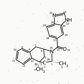 C[C@@H]1C[C@]2(C)CC(Cc3ccccc32)N1C(=O)c1ccc2nc[nH]c2c1